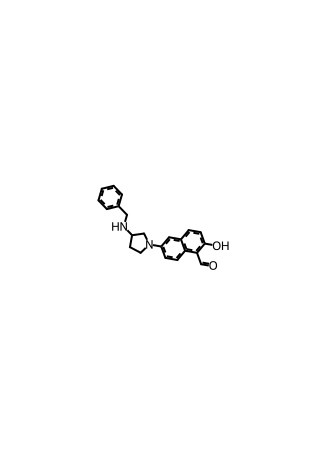 O=Cc1c(O)ccc2cc(N3CCC(NCc4ccccc4)C3)ccc12